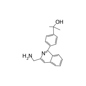 CC(C)(O)c1ccc(-c2nc(CN)cc3ccccc23)cc1